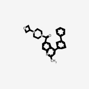 Cc1cc(-c2cccc(-c3ccccc3)c2)c2cc(C(=O)N3CCN(C4COC4)CC3)ccc2n1